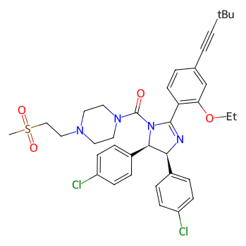 CCOc1cc(C#CC(C)(C)C)ccc1C1=N[C@@H](c2ccc(Cl)cc2)[C@@H](c2ccc(Cl)cc2)N1C(=O)N1CCN(CCS(C)(=O)=O)CC1